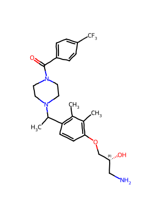 Cc1c(OC[C@H](O)CN)ccc(C(C)N2CCN(C(=O)c3ccc(C(F)(F)F)cc3)CC2)c1C